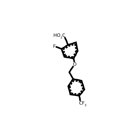 O=C(O)c1ccc(OCc2ccc(C(F)(F)F)cc2)cc1F